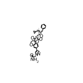 C[C@@H](C1CC1)N(Cc1ccccc1)C(=O)CN1C(=O)OC2(CCOc3cc(-c4cnn(CC(N)=O)c4)ccc32)C1=O